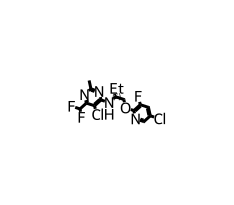 CC[C@@H](COc1ncc(Cl)cc1F)Nc1nc(C)nc(C(F)F)c1Cl